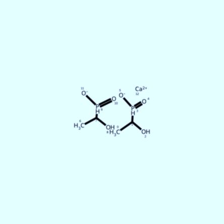 CC(O)[PH](=O)[O-].CC(O)[PH](=O)[O-].[Ca+2]